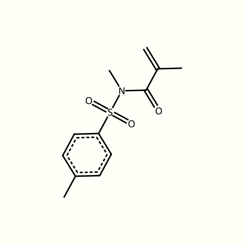 C=C(C)C(=O)N(C)S(=O)(=O)c1ccc(C)cc1